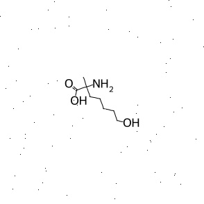 CC(N)(CCCCCO)C(=O)O